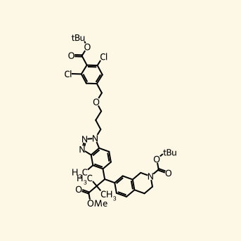 COC(=O)C(C)(C)C(c1ccc2c(c1)CN(C(=O)OC(C)(C)C)CC2)c1ccc2c(nnn2CCCOCc2cc(Cl)c(C(=O)OC(C)(C)C)c(Cl)c2)c1C